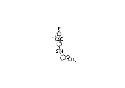 COc1cccc(-c2csc(N3CCN(S(=O)(=O)c4ccc(F)cc4Cl)CC3)n2)c1